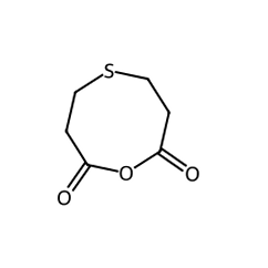 O=C1CCSCCC(=O)O1